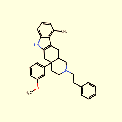 COc1cccc(C23CCN(CCc4ccccc4)CC2Cc2c([nH]c4cccc(C)c24)C3)c1